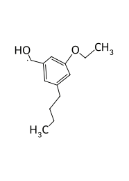 CCCCc1cc([CH]O)cc(OCC)c1